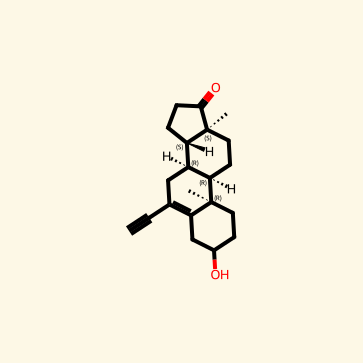 C#CC1=C2CC(O)CC[C@]2(C)[C@@H]2CC[C@]3(C)C(=O)CC[C@H]3[C@@H]2C1